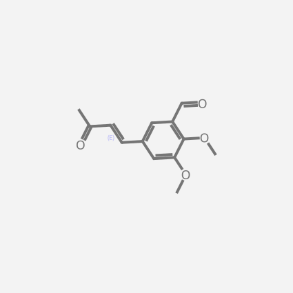 COc1cc(/C=C/C(C)=O)cc(C=O)c1OC